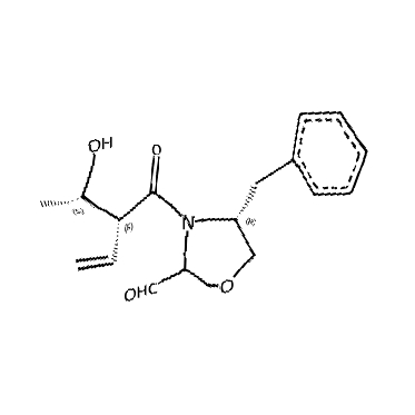 C=C[C@@H](C(=O)N1C(C=O)OC[C@H]1Cc1ccccc1)[C@H](C)O